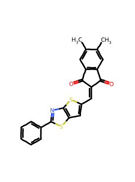 Cc1cc2c(cc1C)C(=O)C(=Cc1cc3sc(-c4ccccc4)nc3s1)C2=O